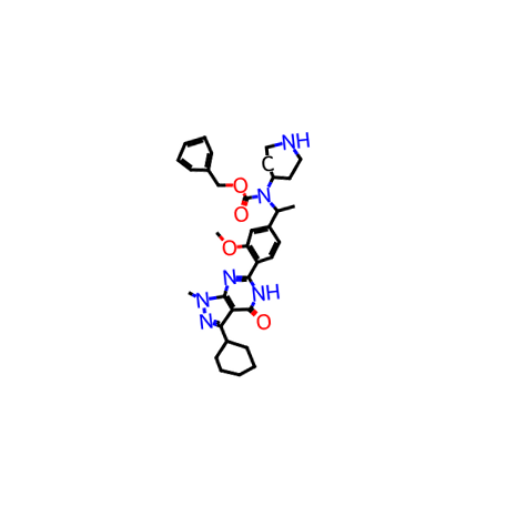 COc1cc(C(C)N(C(=O)OCc2ccccc2)C2CCNCC2)ccc1-c1nc2c(c(C3CCCCC3)nn2C)c(=O)[nH]1